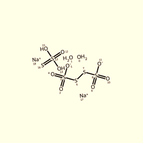 O.O.O=S(=O)([O-])SSS(=O)(=O)[O-].O=S(O)(O)=S.[Na+].[Na+]